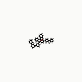 c1cc(-c2cccc3c2sc2ccccc23)cc(N(c2ccc(-c3ccc4c(c3)sc3ccccc34)cc2)c2ccccc2-c2cccc3ccccc23)c1